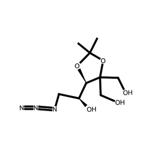 CC1(C)O[C@H]([C@@H](O)CN=[N+]=[N-])C(CO)(CO)O1